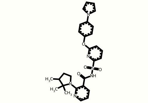 CC1CCN(c2ncccc2C(=O)NS(=O)(=O)c2cccc(Oc3ccc(-n4cccc4)cc3)n2)C1(C)C